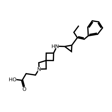 CC/C(=C\c1ccccc1)C1CC1NC1CC2(C1)CN(CCC(=O)O)C2